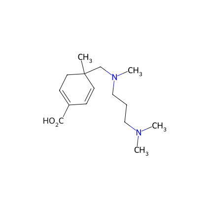 CN(C)CCCN(C)CC1(C)C=CC(C(=O)O)=CC1